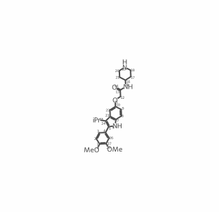 COc1ccc(-c2[nH]c3ccc(OCC(=O)NC4CCNCC4)cc3c2C(C)C)cc1OC